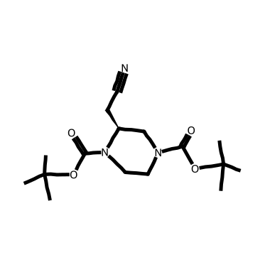 CC(C)(C)OC(=O)N1CCN(C(=O)OC(C)(C)C)[C@@H](CC#N)C1